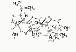 C=C(C)C1CCC2(CO)CC[C@]3(C)[C@H](CC[C@@H]4[C@@]5(C)CC[C@H](O)C(C)(C)[C@@H]5CC[C@]43C)[C@@H]12